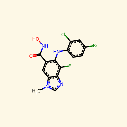 Cn1cnc2c(F)c(Nc3ccc(Br)cc3Cl)c(C(=O)NO)cc21